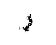 CCCCC(=O)N1CCN(Cc2ccc(-c3ccc(C(C)(O)C(F)(F)F)cc3)cc2)CC1